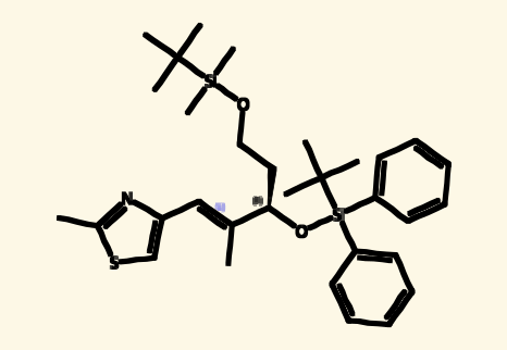 C/C(=C\c1csc(C)n1)[C@@H](CCO[Si](C)(C)C(C)(C)C)O[Si](c1ccccc1)(c1ccccc1)C(C)(C)C